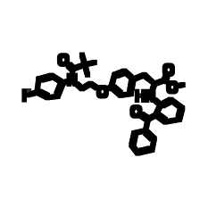 COC(=O)[C@H](Cc1ccc(OCCN(C(=O)C(C)(C)C)c2ccc(F)cc2)cc1)Nc1ccccc1C(=O)c1ccccc1